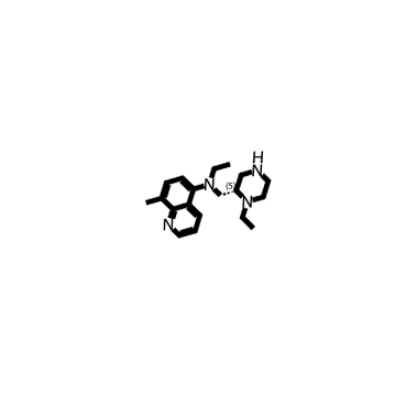 CCN(C[C@@H]1CNCCN1CC)c1ccc(C)c2ncccc12